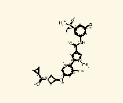 Cn1cc(C(=O)Nc2cc(Cl)cc(S(C)(=O)=O)c2)cc1-c1ncc(OC2CN(C(=O)C3CC3)C2)cc1F